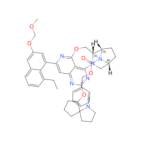 CCc1cccc2cc(OCOC)cc(-c3cc4nc(OC5CCCC56CCCN6C)nc5c4c(n3)OC[C@@H]3[C@@H]4CC[C@H](CN53)N4C(=O)OCc3ccccc3)c12